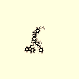 Cc1ccc(S(=O)(=O)Oc2ccc(C(N)(CC(=O)OCc3ccccc3)C(=O)OCC3c4ccccc4-c4ccccc43)cc2)cc1